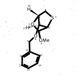 COC1O[C@@H]2CSC1[C@H]2OCc1ccccc1